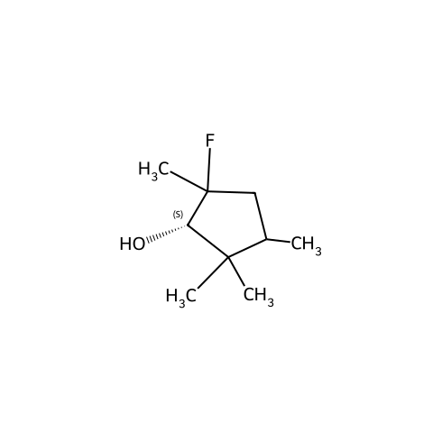 CC1CC(C)(F)[C@@H](O)C1(C)C